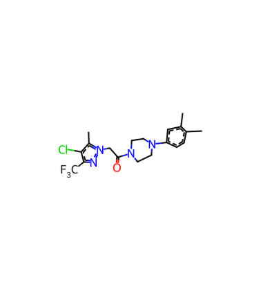 Cc1ccc(N2CCN(C(=O)Cn3nc(C(F)(F)F)c(Cl)c3C)CC2)cc1C